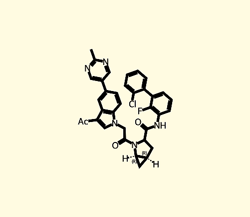 CC(=O)c1cn(CC(=O)N2C(C(=O)Nc3cccc(-c4ccccc4Cl)c3F)C[C@H]3C[C@H]32)c2ccc(-c3cnc(C)nc3)cc12